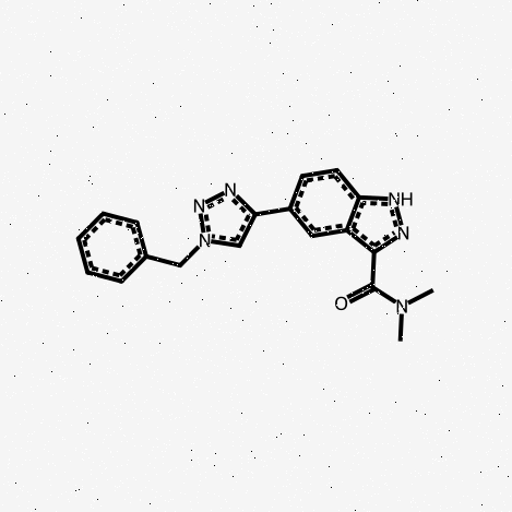 CN(C)C(=O)c1n[nH]c2ccc(-c3cn(Cc4ccccc4)nn3)cc12